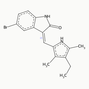 CCc1c(C)[nH]c(/C=C2\C(=O)Nc3ccc(Br)cc32)c1C